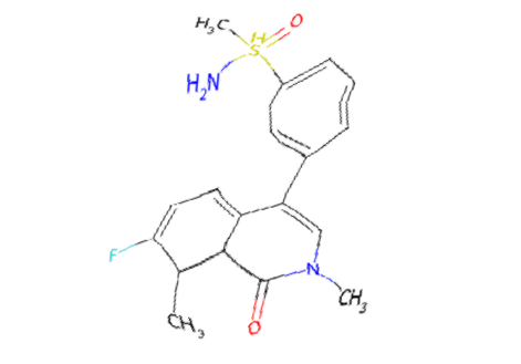 CC1C(F)=CC=C2C(c3cccc([SH](C)(N)=O)c3)=CN(C)C(=O)C21